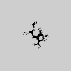 CC(Cc1c(C(F)F)n[nH]c1Cl)OC=O